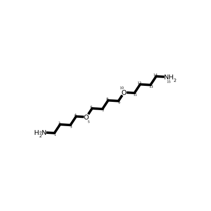 NCCCCOCCCCOCCCCN